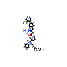 COCCCn1c(C2CCCN(C(=O)CC(N)Cc3ccc(-c4ccncc4Cl)cc3)C2)nc2ccccc21